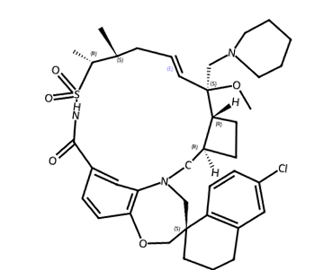 CO[C@]1(CN2CCCCC2)/C=C/C[C@H](C)[C@@H](C)S(=O)(=O)NC(=O)c2ccc3c(c2)N(C[C@@H]2CC[C@H]21)C[C@@]1(CCCc2cc(Cl)ccc21)CO3